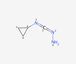 NN=C=NC1CC1